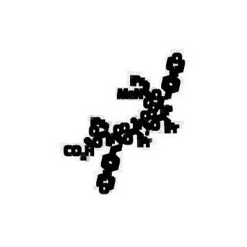 CN[C@@H](CC(C)C)C(=O)O[C@H](Cc1ccc(N2CCOCC2)cc1)C(=O)N(C)[C@@H](CC(C)C)C(=O)O[C@H](C)C(=O)N(C)[C@@H](CC(C)C)C(=O)O[C@H](CCc1ccc(N2CCOCC2)cc1)C(=O)N(C)[C@@H](CC(C)C)C(=O)O[C@H](C)C(=O)O